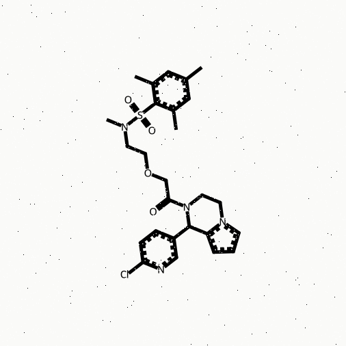 Cc1cc(C)c(S(=O)(=O)N(C)CCOCC(=O)N2CCn3cccc3C2c2ccc(Cl)nc2)c(C)c1